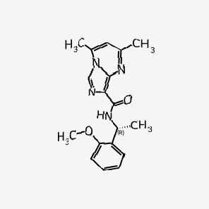 COc1ccccc1[C@@H](C)NC(=O)c1ncn2c(C)cc(C)nc12